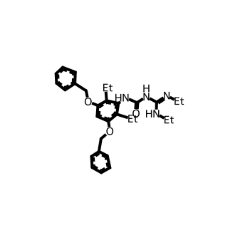 CCN=C(NCC)NC(=O)Nc1c(CC)c(OCc2ccccc2)cc(OCc2ccccc2)c1CC